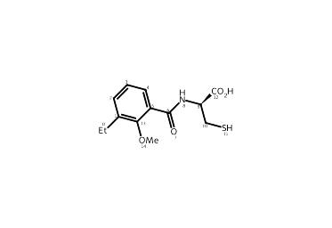 CCc1cccc(C(=O)N[C@H](CS)C(=O)O)c1OC